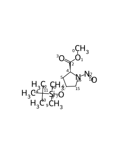 COC(=O)[C@@H]1C[C@@H](O[Si](C)(C)C(C)(C)C)CN1N=O